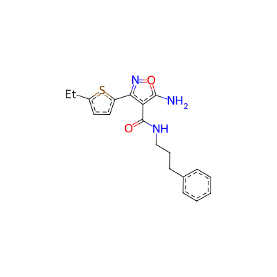 CCc1ccc(-c2noc(N)c2C(=O)NCCCc2ccccc2)s1